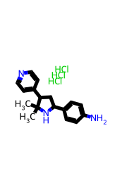 CC1(C)NC(c2ccc(N)cc2)CC1c1ccncc1.Cl.Cl.Cl